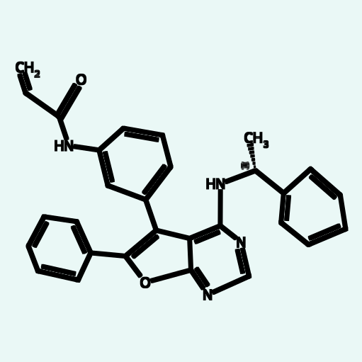 C=CC(=O)Nc1cccc(-c2c(-c3ccccc3)oc3ncnc(N[C@H](C)c4ccccc4)c23)c1